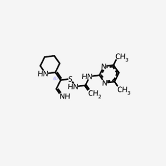 C=C(NS/C(C=N)=C1\CCCCN1)Nc1nc(C)cc(C)n1